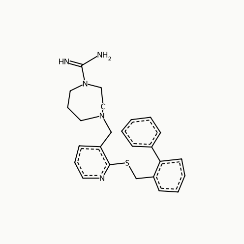 N=C(N)N1CCCN(Cc2cccnc2SCc2ccccc2-c2ccccc2)CC1